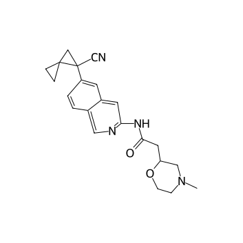 CN1CCOC(CC(=O)Nc2cc3cc(C4(C#N)CC45CC5)ccc3cn2)C1